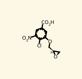 O=C(O)c1cc(OC[C@H]2CO2)c(Cl)c([N+](=O)[O-])c1